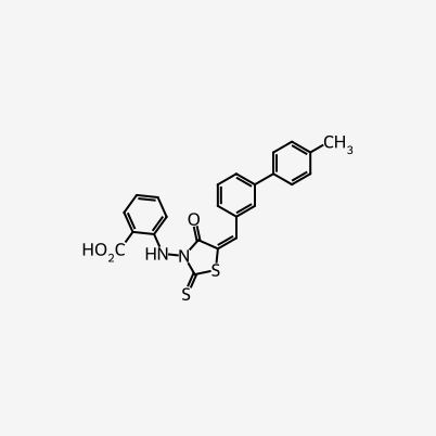 Cc1ccc(-c2cccc(C=C3SC(=S)N(Nc4ccccc4C(=O)O)C3=O)c2)cc1